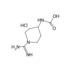 Cl.N=C(N)N1CCC(NC(=O)O)CC1